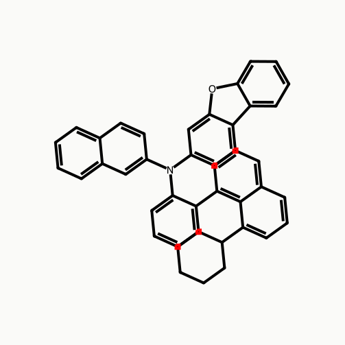 c1ccc(N(c2ccc3ccccc3c2)c2ccc3c(c2)oc2ccccc23)c(-c2cccc3cccc(C4CCCCC4)c23)c1